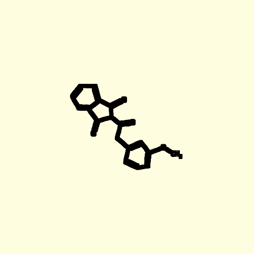 COc1cccc(CC(=O)C2C(=O)c3ccccc3C2=O)c1